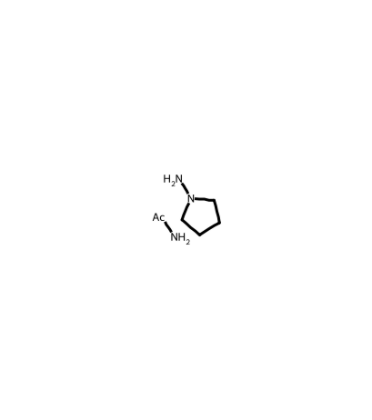 CC(N)=O.NN1CCCC1